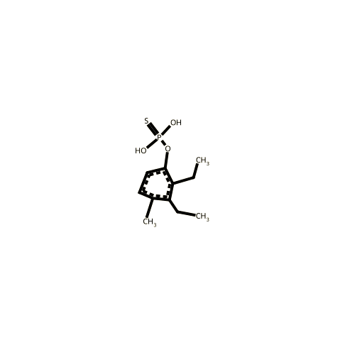 CCc1c(C)ccc(OP(O)(O)=S)c1CC